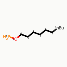 [CH2]CCCCCCCCCOP